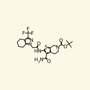 CC(C)(C)OC(=O)N1CCc2c(sc(NC(=O)Cn3nc(C(F)(F)F)c4c3CCCC4)c2C(N)=O)C1